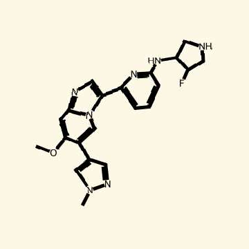 COc1cc2ncc(-c3cccc(NC4CNCC4F)n3)n2cc1-c1cnn(C)c1